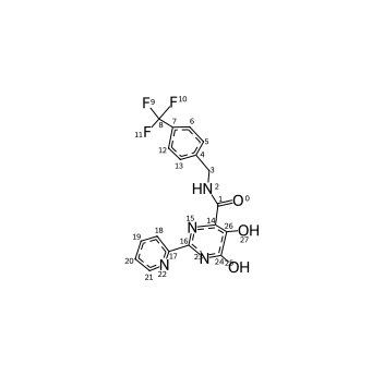 O=C(NCc1ccc(C(F)(F)F)cc1)c1nc(-c2ccccn2)nc(O)c1O